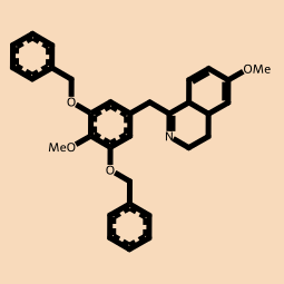 COC1=CC2CCN=C(Cc3cc(OCc4ccccc4)c(OC)c(OCc4ccccc4)c3)C2C=C1